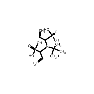 C=CC(N(C(C=C)P(=O)(O)O)C(C)(C)C(=O)O)P(=O)(O)O